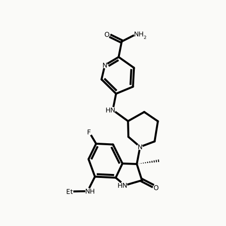 CCNc1cc(F)cc2c1NC(=O)[C@]2(C)N1CCCC(Nc2ccc(C(N)=O)nc2)C1